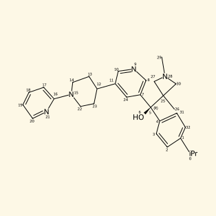 CC(C)c1ccc([C@](O)(c2cncc(C3CCN(c4ccccn4)CC3)c2)C2(C)CN(C)C2)cc1